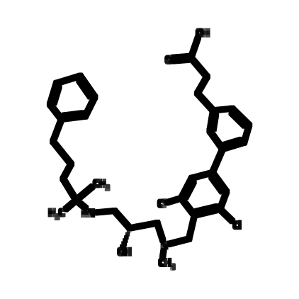 CN(Cc1c(Cl)cc(-c2cccc(CCC(=O)O)c2)cc1Cl)C[C@H](O)CNC(C)(C)CCCc1ccccc1